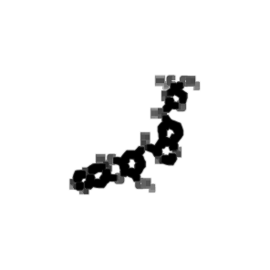 Cc1cc(Nc2ncnc3ccc(NC4=NC(C)(C)CO4)cc23)cc(C)c1Oc1cc2nncn2cn1